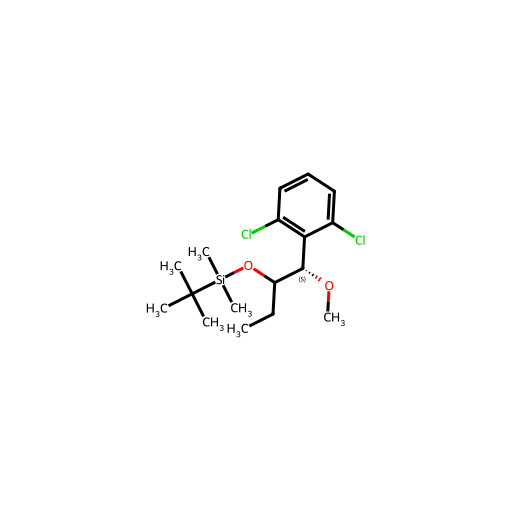 CCC(O[Si](C)(C)C(C)(C)C)[C@@H](OC)c1c(Cl)cccc1Cl